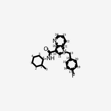 CC1CCCC[C@@H]1NC(=O)c1cn(Cc2ccc(F)cc2)c2cccnc12